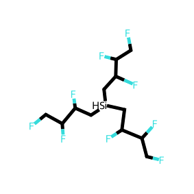 FCC(F)C(F)C[SiH](CC(F)C(F)CF)CC(F)C(F)CF